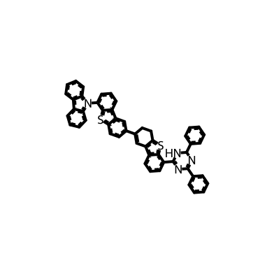 C1=C(c2ccc3sc4c(-n5c6ccccc6c6ccccc65)cccc4c3c2)CCc2sc3c(C4=NC(c5ccccc5)=NC(c5ccccc5)N4)cccc3c21